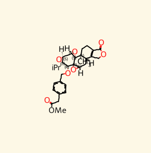 COC(=O)Cc1ccc(CO[C@@H]2[C@@]3(C(C)C)O[C@H]3[C@@H]3O[C@]34[C@]23O[C@H]3C[C@H]2C3=C(CC[C@@]24C)C(=O)OC3)cc1